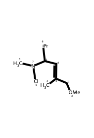 COC/C(C)=C/C(C(C)C)N(C)Cl